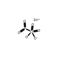 O=[P](=O)[Cr](=[O])(=[O])([O-])[O-].[Zn+2]